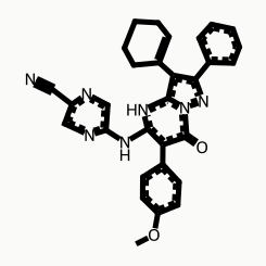 COc1ccc(-c2c(Nc3cnc(C#N)cn3)[nH]c3c(C4=CCCCC4)c(-c4ccccc4)nn3c2=O)cc1